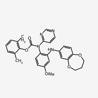 COc1ccc(N(C(=O)Oc2c(C)cccc2C)c2ccncn2)c(Nc2ccc3c(c2)OCCCO3)c1